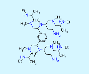 CCNC(C)CN(C)CC(CCN)N(C)C(CN(C)CC(C)NCC)c1cccc(C(CN(C)CC(C)NCC)N(C)C(CCN)CN(C)CC(C)NCC)c1